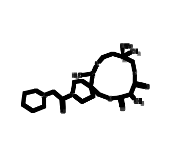 CO[C@]1(C)CCCN(C)C2(CCN(C(=O)CN3CCCCC3)CC2)COC(=O)C(C)C(=O)CC1